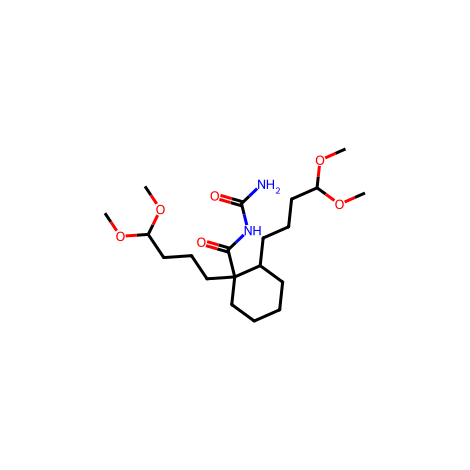 COC(CCCC1CCCCC1(CCCC(OC)OC)C(=O)NC(N)=O)OC